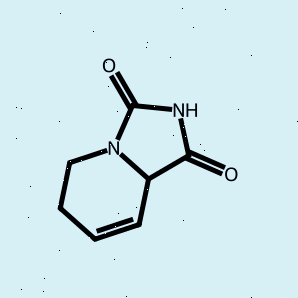 O=C1NC(=O)N2CCC=CC12